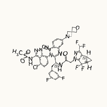 Cn1nc(NS(C)(=O)=O)c2c(Cl)ccc(-n3c([C@H](Cc4cc(F)cc(F)c4)NC(=O)Cn4nc(C(F)F)c5c4C(F)(F)[C@@H]4C[C@H]54)nc4cc(N5CC6(COC6)C5)ccc4c3=O)c21